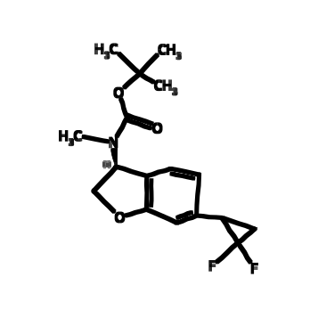 CN(C(=O)OC(C)(C)C)[C@@H]1COc2cc(C3CC3(F)F)ccc21